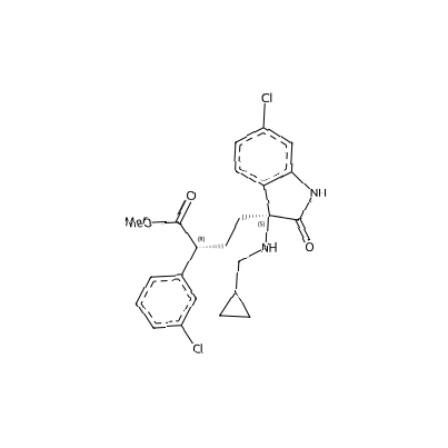 COC(=O)[C@H](CC[C@@]1(NCC2CC2)C(=O)Nc2cc(Cl)ccc21)c1cccc(Cl)c1